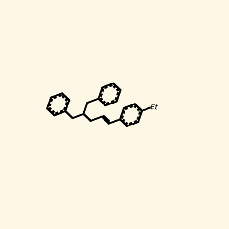 CCc1ccc(C=CCC(Cc2ccccc2)Cc2ccccc2)cc1